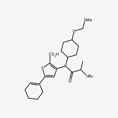 CCCCC(C)C(=O)N(c1cc(C2=CCCCC2)sc1C(=O)O)C1CCC(OCSC)CC1